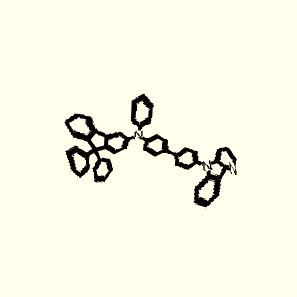 c1ccc(N(c2ccc(-c3ccc(-n4c5ccccc5c5ncccc54)cc3)cc2)c2ccc3c(c2)-c2ccccc2C3(c2ccccc2)c2ccccc2)cc1